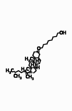 CC(C)CCC[C@@H](C)[C@H]1CC[C@H]2[C@@H]3CC=C4C[C@@H](OCCCCCCCCO)CC[C@]4(C)[C@H]3CC[C@]12C